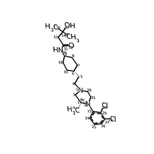 C[C@@H]1CN(CC[C@H]2CC[C@H](NC(=O)CC(C)(C)O)CC2)CCN1c1cccc(Cl)c1Cl